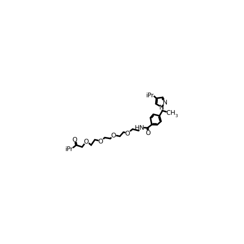 CC(C)C(=O)COCCOCCOCCOCCNC(=O)c1ccc(C(C)n2cc(C(C)C)cn2)cc1